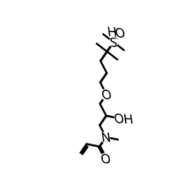 C=CC(=O)N(C)CC(O)COCCCC(C)(C)[SH](C)(C)=O